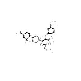 Nc1nc(C2CC=C(c3ccc(Cl)cc3C(F)(F)F)CC2)c(Cc2cccc(C(F)(F)F)c2)c(=O)[nH]1